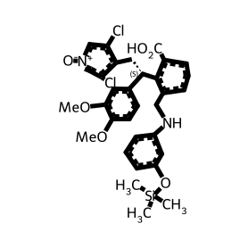 COc1ccc([C@H](Cc2c(Cl)c[n+]([O-])cc2Cl)c2c(CNc3cccc(O[Si](C)(C)C)c3)cccc2C(=O)O)cc1OC